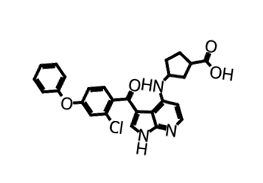 O=C(c1ccc(Oc2ccccc2)cc1Cl)c1c[nH]c2nccc(NC3CCC(C(=O)O)C3)c12